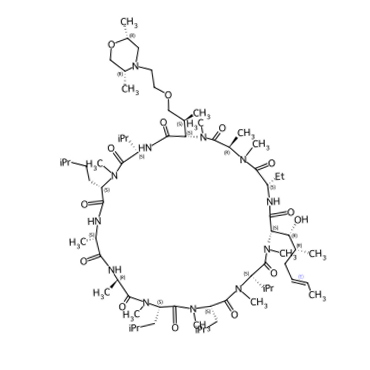 C/C=C/C[C@@H](C)[C@@H](O)[C@H]1C(=O)N[C@@H](CC)C(=O)N(C)[C@H](C)C(=O)N(C)[C@@H]([C@H](C)COCCN2C[C@@H](C)OC[C@H]2C)C(=O)N[C@@H](C(C)C)C(=O)N(C)[C@@H](CCC(C)C)C(=O)N[C@@H](C)C(=O)N[C@H](C)C(=O)N(C)[C@@H](CC(C)C)C(=O)N(C)[C@@H](CC(C)C)C(=O)N(C)[C@@H](C(C)C)C(=O)N1C